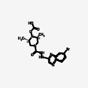 C[C@@H]1CN(C(=O)NNc2cnc3ccc(Br)cc3n2)C[C@H](C)N1OC(=O)O